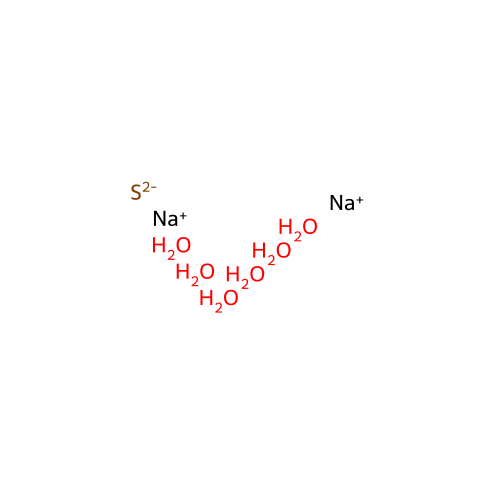 O.O.O.O.O.O.[Na+].[Na+].[S-2]